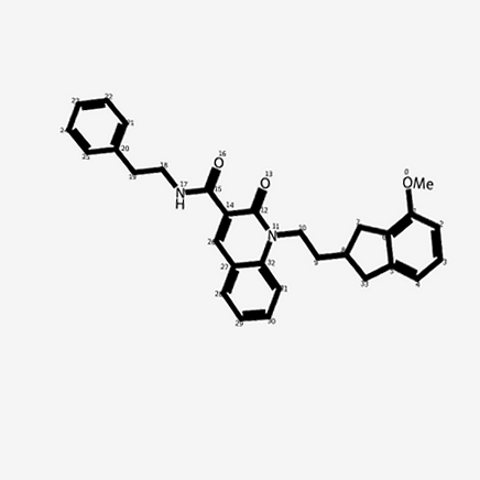 COc1cccc2c1CC(CCn1c(=O)c(C(=O)NCCc3ccccc3)cc3ccccc31)C2